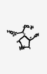 O=C(O)CC(=O)O.OC1CCNC1